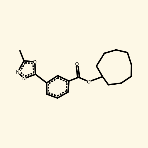 Cc1nnc(-c2cccc(C(=O)OC3CCCCCCCC3)c2)o1